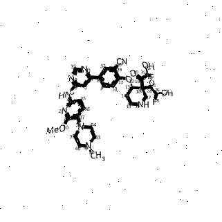 COc1nc(Nc2cc(-c3ccc(O[C@H]4CCNCC4(C(=O)[C@@H](O)F)C(=O)[C@@H](O)F)c(C#N)c3)ncn2)ccc1N1CCN(C)CC1